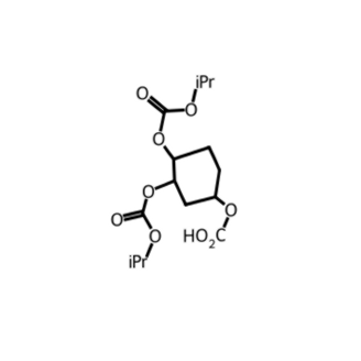 CC(C)OC(=O)OC1CCC(OC(=O)O)CC1OC(=O)OC(C)C